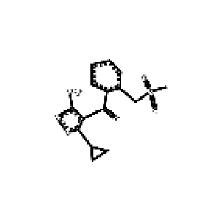 CCOC(=O)c1noc(C2CC2)c1C(=O)c1ccccc1CS(C)(=O)=O